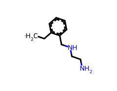 [CH2]Cc1ccccc1CNCCN